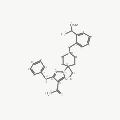 COC(O)c1ccccc1CN1CCC(CC#N)(n2cc(C(N)=O)c(Nc3ccccc3)n2)CC1